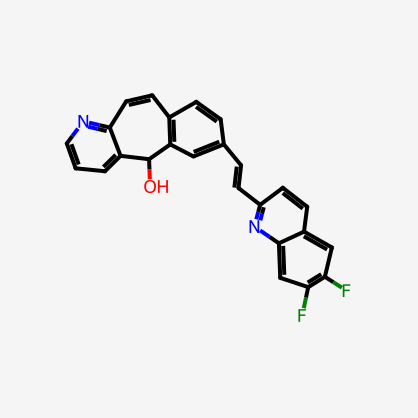 OC1c2cc(C=Cc3ccc4cc(F)c(F)cc4n3)ccc2C=Cc2ncccc21